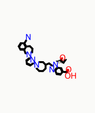 N#Cc1cccc2c1CCCN(c1cccc(N3CCCCC(Cc4nc5ccc(C(=O)O)cc5n4C[C@@H]4CCO4)CC3)n1)C2